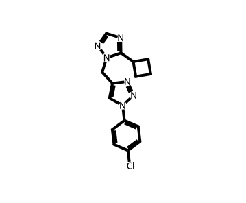 Clc1ccc(-n2cc(Cn3ncnc3C3CCC3)nn2)cc1